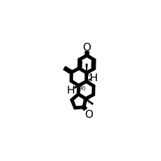 C=C1C[C@H]2C3CCC(=O)[C@@]3(C)CC[C@@H]2[C@@]2(C)C=CC(=O)C=C12